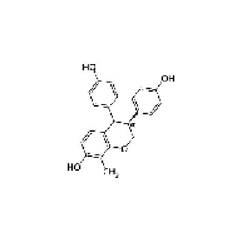 Cc1c(O)ccc2c1OC[C@H](c1ccc(O)cc1)C2c1ccc(O)cc1